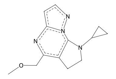 COCc1nc2ccnn2c2c1CCN2C1CC1